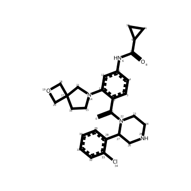 C=C(c1ccc(NC(=O)C2CC2)cc1N1CCC2(COC2)C1)N1CCNCC1c1ccccc1Cl